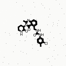 Cc1ccc(NC(=O)NCc2cccc3nc(C)n(C4CCCNC4=O)c(=O)c23)cc1Cl